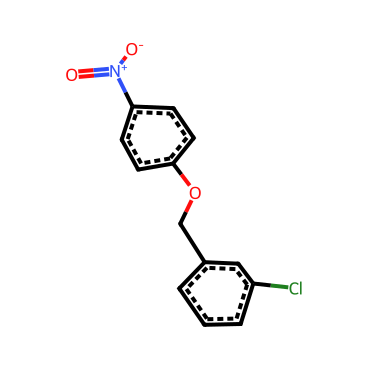 O=[N+]([O-])c1ccc(OCc2cccc(Cl)c2)cc1